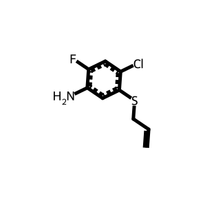 C=CCSc1cc(N)c(F)cc1Cl